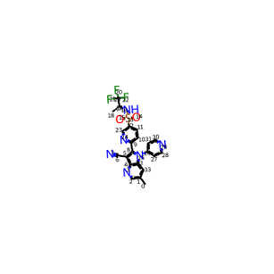 Cc1cnc2c(C#N)c(-c3ccc(S(=O)(=O)N[C@@H](C)C(F)(F)F)cn3)n(-c3ccncc3)c2c1